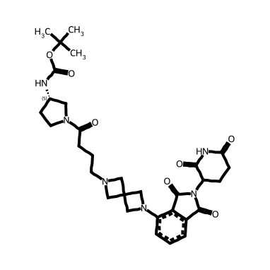 CC(C)(C)OC(=O)N[C@H]1CCN(C(=O)CCCN2CC3(C2)CN(c2cccc4c2C(=O)N(C2CCC(=O)NC2=O)C4=O)C3)C1